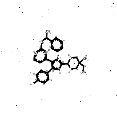 CC(Nc1nccc(-c2[nH]c(C3OCC(C)(CN)CO3)nc2-c2ccc(F)cc2)n1)c1ccccc1